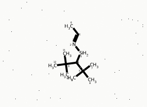 CC=N[SiH2]C(C(C)(C)C)C(C)(C)C